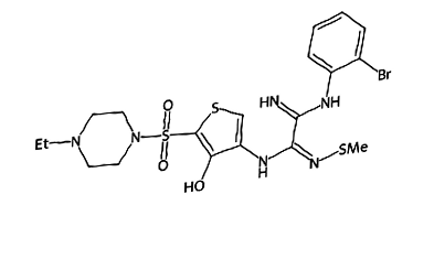 CCN1CCN(S(=O)(=O)c2scc(N/C(=N/SC)C(=N)Nc3ccccc3Br)c2O)CC1